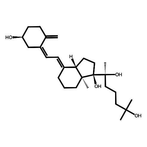 C=C1CC[C@H](O)C/C1=C/C=C1\CCC[C@@]2(C)[C@H]1CC[C@]2(O)[C@@](C)(O)CCCC(C)(C)O